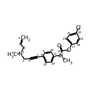 C=CCN(C)CC#Cc1ccc(N(C)C(=O)Oc2ccc(Cl)cc2)cc1